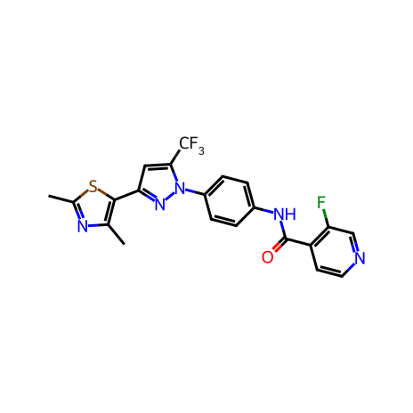 Cc1nc(C)c(-c2cc(C(F)(F)F)n(-c3ccc(NC(=O)c4ccncc4F)cc3)n2)s1